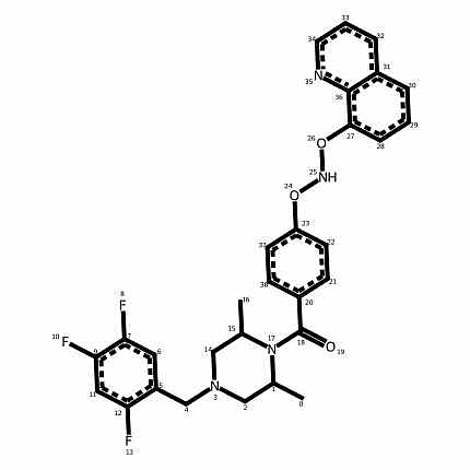 CC1CN(Cc2cc(F)c(F)cc2F)CC(C)N1C(=O)c1ccc(ONOc2cccc3cccnc23)cc1